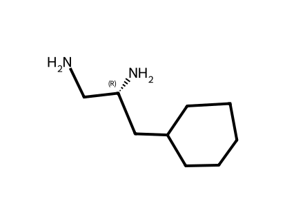 NC[C@H](N)CC1CCCCC1